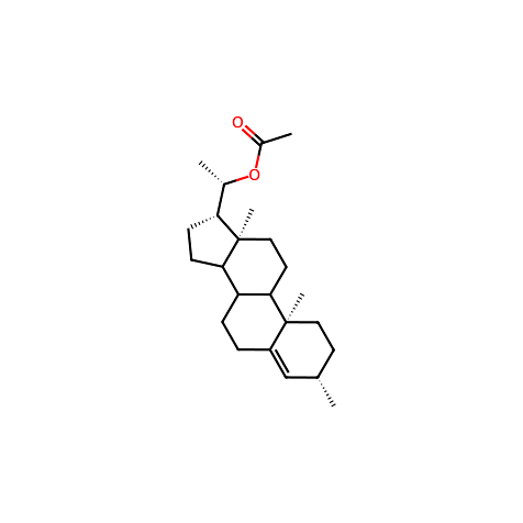 CC(=O)O[C@@H](C)[C@H]1CCC2C3CCC4=C[C@@H](C)CC[C@]4(C)C3CC[C@@]21C